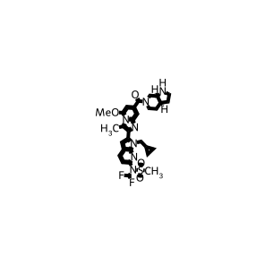 COc1cc(C(=O)N2CC[C@H]3CCN[C@H]3C2)cc2nc(-c3cc4ccc(N(C(F)F)S(C)(=O)=O)nc4n3CC3CC3)c(C)n12